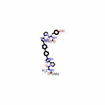 COC(=O)N[C@@H](C)C(=O)N1CCC[C@H]1c1ncc(-c2ccc(-c3ccc(-c4cnc([C@@H]5CCCN5C(=O)[C@H](Cc5ccc(O)cc5)NC(=O)OC)[nH]4)cc3)cc2)[nH]1